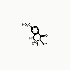 CC(C)N1C(=O)c2ccc(C(=O)O)cc2NS1(=O)=O